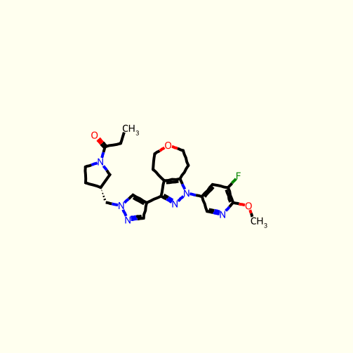 CCC(=O)N1CC[C@@H](Cn2cc(-c3nn(-c4cnc(OC)c(F)c4)c4c3CCOCC4)cn2)C1